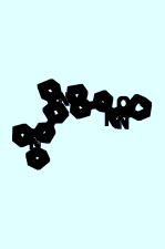 C1=CCc2oc3c(-c4cccc(-c5cccc6c(-n7c8ccccc8c8cc(-c9ccc%10c(c9)c9ccccc9n%10-c9ccccc9)ccc87)cccc56)c4)ncnc3c2C=C1